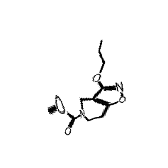 CCCOc1noc2c1CN(C(=O)OC)CC2